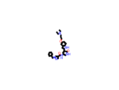 CCN(CC)CCCOc1ccc2[nH]c(-c3cc(NC(=O)c4cnn(Cc5ccccc5)c4)c[nH]c3=O)cc2c1